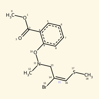 COC(=O)c1ccccc1ON(C)C/C(Br)=C\SC